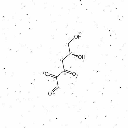 O=CC(=O)C(=O)C[C@H](O)CO